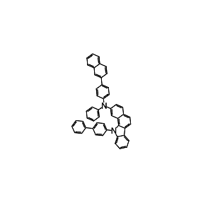 c1ccc(-c2ccc(-n3c4ccccc4c4ccc5ccc(N(c6ccccc6)c6ccc(-c7ccc8ccccc8c7)cc6)cc5c43)cc2)cc1